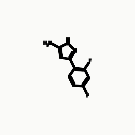 Nc1cc(-c2ccc(F)cc2F)n[nH]1